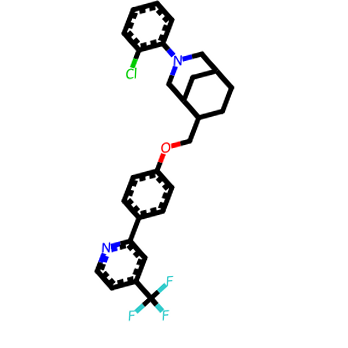 FC(F)(F)c1ccnc(-c2ccc(OCC3CCC4CC3CN(c3ccccc3Cl)C4)cc2)c1